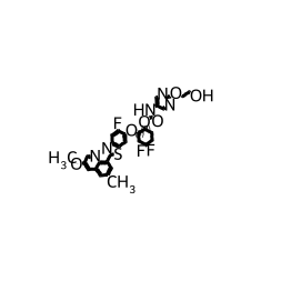 COc1cnc2c(-c3nc4cc(F)c(O[C@H]5CC(F)(F)CC[C@H]5OC(=O)Nc5cnc(OCCO)nc5)cc4s3)cc(C)cc2c1